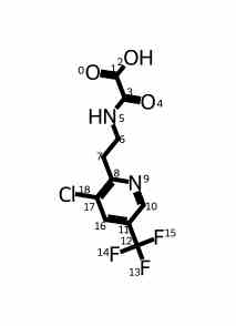 O=C(O)C(=O)NCCc1ncc(C(F)(F)F)cc1Cl